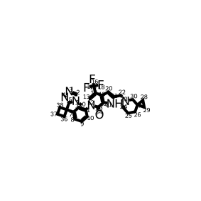 Cn1cnnc1C1(c2cccc(-n3cc(C(F)(F)F)c4cc(CN5CCCC6(CC6)C5)[nH]c4c3=O)c2)CCC1